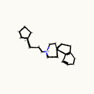 C1=CC2=C(CC1)CCC21CCN(CCCC2CCCC2)CC1